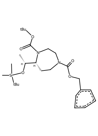 C[C@@H](O[Si](C)(C)C(C)(C)C)[C@H]1CCN(C(=O)OCc2ccccc2)CCN1C(=O)OC(C)(C)C